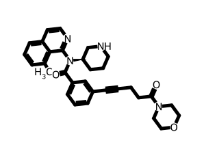 Cc1cccc2ccnc(N(C(=O)c3cccc(C#CCCC(=O)N4CCOCC4)c3)[C@@H]3CCCNC3)c12